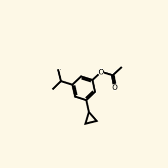 [CH2]C(C)c1cc(OC(C)=O)cc(C2CC2)c1